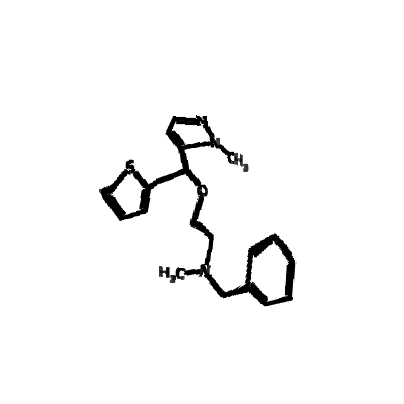 CN(CCOC(c1cccs1)c1ccnn1C)Cc1ccccc1